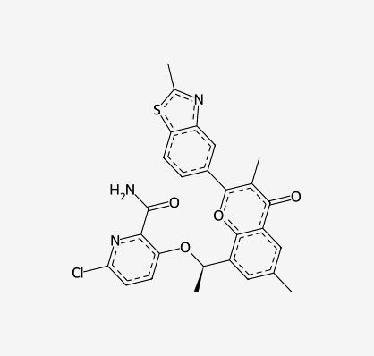 Cc1cc([C@@H](C)Oc2ccc(Cl)nc2C(N)=O)c2oc(-c3ccc4sc(C)nc4c3)c(C)c(=O)c2c1